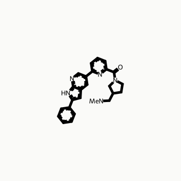 CNCC1CCN(C(=O)c2cccc(-c3cnc4[nH]c(-c5ccccc5)cc4c3)n2)C1